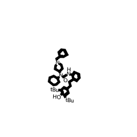 CC(C)(C)c1cc(CCc2ccccc2NC(=O)N(C2CCCCCC2)C2CCN(Cc3ccccc3)CC2)cc(C(C)(C)C)c1O